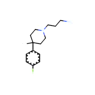 N#CC1(c2ccc(F)cc2)CCN(CCCN)CC1